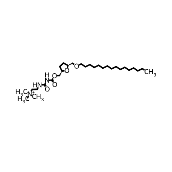 CCCCCCCCCCCCCCCCOC[C@@H]1CC[C@H](COC(=O)NC(=O)NCC[N+](C)(C)C)O1